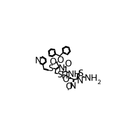 CO/N=C(\C(=O)NC1C(=O)N2C(C(=O)OC(c3ccccc3)c3ccccc3)=C(S/C=C\c3cccnc3)CS[C@H]12)c1csc(N)n1